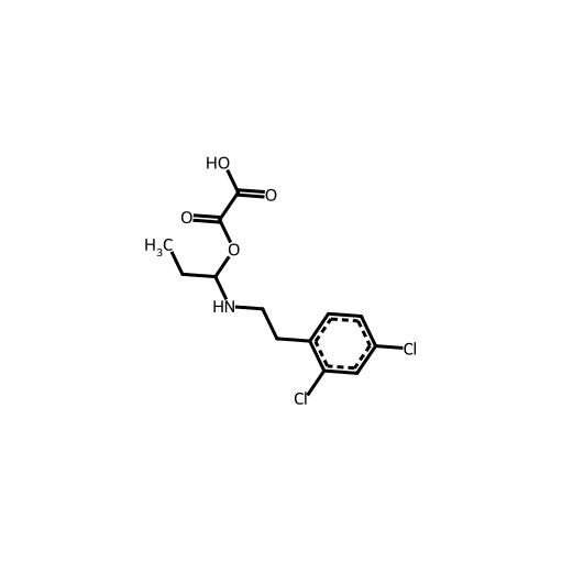 CCC(NCCc1ccc(Cl)cc1Cl)OC(=O)C(=O)O